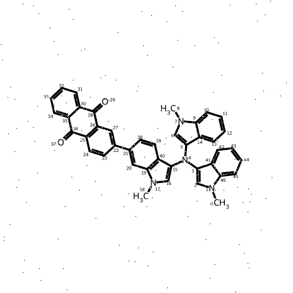 Cn1cc(N(c2cn(C)c3ccccc23)c2cn(C)c3cc(-c4ccc5c(c4)C(=O)c4ccccc4C5=O)ccc23)c2ccccc21